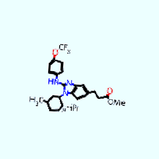 COC(=O)CCc1ccc2c(c1)nc(Nc1ccc(OC(F)(F)F)cc1)n2C1CC(C)CC[C@H]1C(C)C